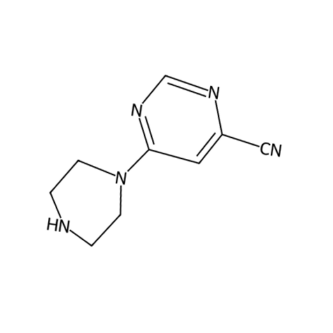 N#Cc1cc(N2CCNCC2)ncn1